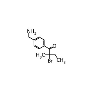 CCC(C)(Br)C(=O)c1ccc(CN)cc1